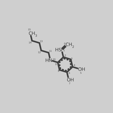 C=[SiH]c1cc(O)c(O)cc1NCCCCC